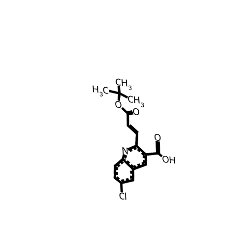 CC(C)(C)OC(=O)C=Cc1nc2ccc(Cl)cc2cc1C(=O)O